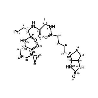 CC(C)C[C@H](NC(=O)[C@H](C)NC(=O)CCCC[C@@H]1SCC2NC(=O)NC21)C(=O)N[C@@H](CC(C)C)C(=O)[C@@]1(C)CO1